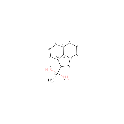 BC(B)(C)C1CC2CCCC3CCCC1C32